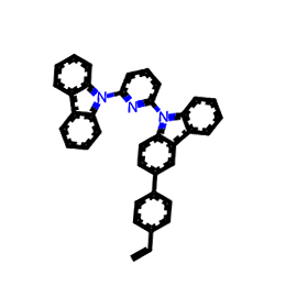 C=Cc1ccc(-c2ccc3c(c2)c2ccccc2n3-c2cccc(-n3c4ccccc4c4ccccc43)n2)cc1